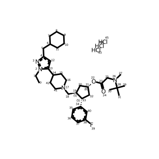 CCn1nc(CC2CCCCC2)cc1C1CCN(C[C@H]2C[C@H](OC(=O)CN(C)C(C)(C)C)C[C@@H]2c2cccc(F)c2)CC1.Cl.Cl.Cl